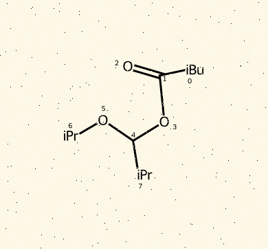 CCC(C)C(=O)OC(OC(C)C)C(C)C